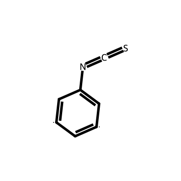 S=C=Nc1c[c]c[c]c1